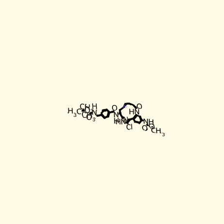 COC(=O)Nc1ccc2c(c1)NC(=O)CC/C=C/C[C@H](NC(=O)c1ccc(CNC(=O)OC(C)(C)C)cc1)c1nc-2c(Cl)[nH]1